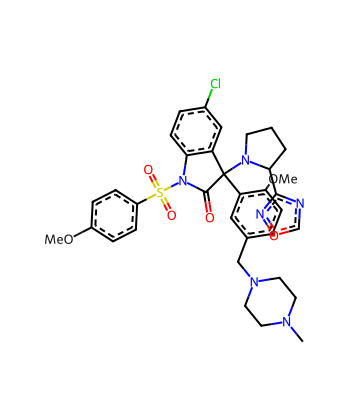 COc1ccc(S(=O)(=O)N2C(=O)C(c3cc(CN4CCN(C)CC4)ccc3OC)(N3CCCC3c3ncon3)c3cc(Cl)ccc32)cc1